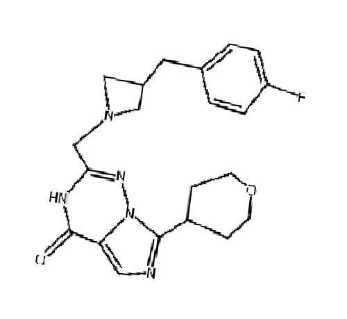 O=c1[nH]c(CN2CC(Cc3ccc(F)cc3)C2)nn2c(C3CCOCC3)ncc12